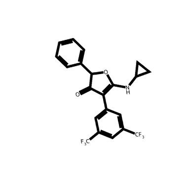 O=C1C(c2cc(C(F)(F)F)cc(C(F)(F)F)c2)=C(NC2CC2)OC1c1ccccc1